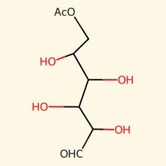 CC(=O)OCC(O)C(O)C(O)C(O)C=O